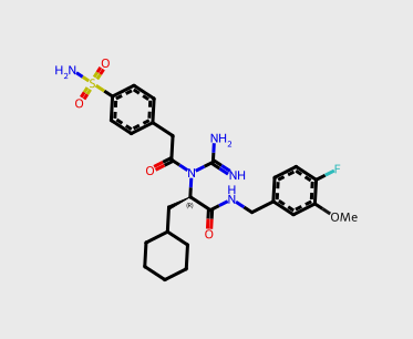 COc1cc(CNC(=O)[C@@H](CC2CCCCC2)N(C(=N)N)C(=O)Cc2ccc(S(N)(=O)=O)cc2)ccc1F